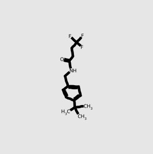 CC(C)(C)c1ccc(CNC(=O)CCC(F)(F)F)cc1